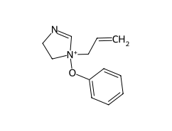 C=CC[N+]1(Oc2ccccc2)C=NCC1